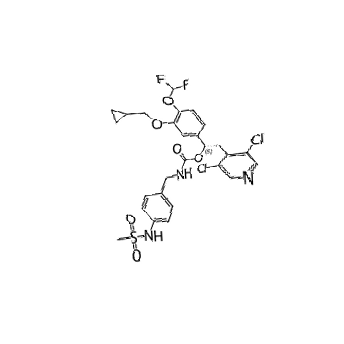 CS(=O)(=O)Nc1ccc(CNC(=O)O[C@@H](Cc2c(Cl)cncc2Cl)c2ccc(OC(F)F)c(OCC3CC3)c2)cc1